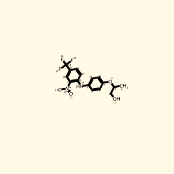 CC(CO)Oc1ccc(Nc2ccc(C(F)(F)F)cc2[N+](=O)[O-])cc1